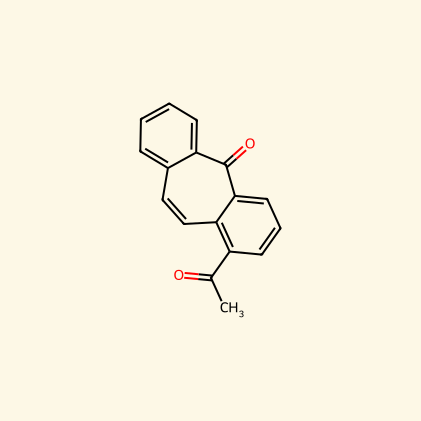 CC(=O)c1cccc2c(=O)c3ccccc3ccc12